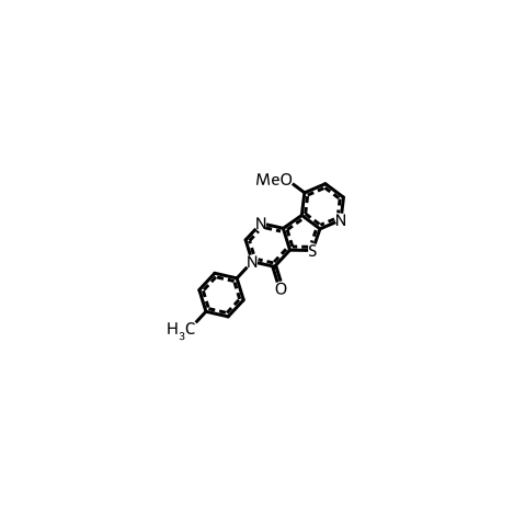 COc1ccnc2sc3c(=O)n(-c4ccc(C)cc4)cnc3c12